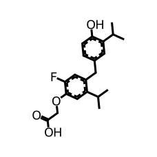 CC(C)c1cc(Cc2cc(F)c(OCC(=O)O)cc2C(C)C)ccc1O